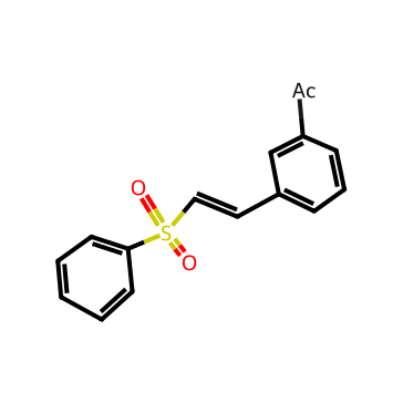 CC(=O)c1cccc(C=CS(=O)(=O)c2ccccc2)c1